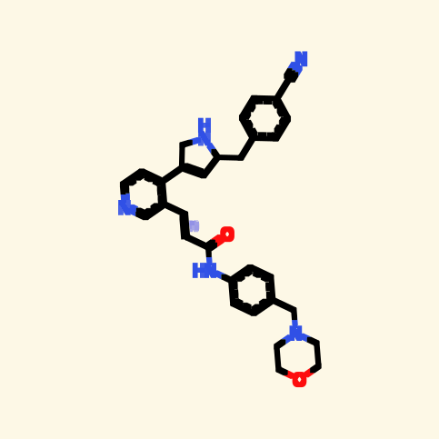 N#Cc1ccc(CC2C=C(c3ccncc3/C=C/C(=O)Nc3ccc(CN4CCOCC4)cc3)CN2)cc1